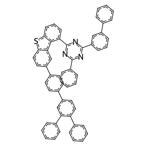 c1ccc(-c2cccc(-c3nc(-c4ccccc4)nc(-c4cccc5sc6ccc(-c7ccc(-c8ccc(-c9ccccc9)c(-c9ccccc9)c8)cc7)cc6c45)n3)c2)cc1